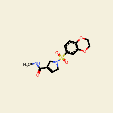 CNC(=O)C1=CCN(S(=O)(=O)c2ccc3c(c2)OCCO3)C1